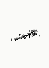 C=C/C(=C\C=C\C(=O)Nc1ccc2c(c1)C(C)(C)CCC2(C)C)C(=O)OCCOCCOCCO